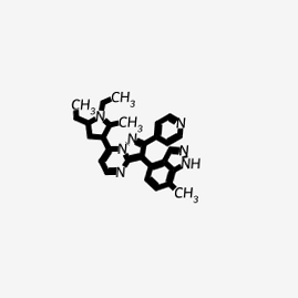 CCC1CC(c2ccnc3c(-c4ccc(C)c5[nH]ncc45)c(-c4ccncc4)nn23)C(C)N1CC